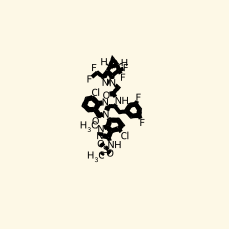 Cn1nc(NS(C)(=O)=O)c2c(Cl)ccc(-n3c(C(Cc4cc(F)cc(F)c4)NC(=O)Cn4nc(C(F)F)c5c4C(F)(F)[C@@H]4C[C@H]54)nc4c(Cl)cccc4c3=O)c21